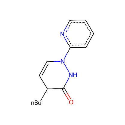 CCCCC1C=CN(c2ccccn2)NC1=O